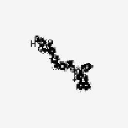 C#Cc1cccc2cccc(-c3ncc4c(N5CC6CCC(C5)N6)nc(OCC5(CN6CCN(C(=O)C7CCN(c8ccc9c(c8)C(=O)N(C8CCC(=O)NC8=O)C9=O)CC7)CC6)CC5)nc4c3F)c12